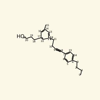 CCCCc1ccc(C#CCC[n+]2cc(C)cc(CCCO)c2)cc1